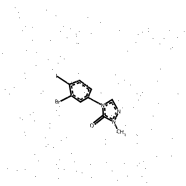 Cn1ncn(-c2ccc(I)c(Br)c2)c1=O